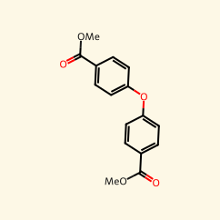 COC(=O)c1ccc(Oc2ccc(C(=O)OC)cc2)cc1